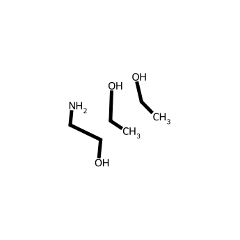 CCO.CCO.NCCO